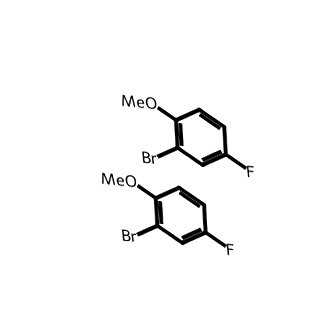 COc1ccc(F)cc1Br.COc1ccc(F)cc1Br